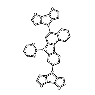 c1cnc(-n2c3cc(-n4c5ccoc5c5occc54)ccc3c3c4ccccc4c(-n4c5ccoc5c5occc54)cc32)nc1